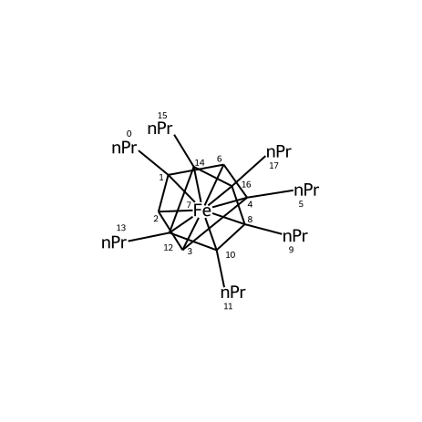 CCC[C]12[CH]3[CH]4[C]5(CCC)[CH]1[Fe]34251678[C]2(CCC)[C]1(CCC)[C]6(CCC)[C]7(CCC)[C]28CCC